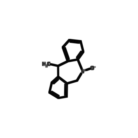 CC1c2ccccc2C[S+]([O-])c2ccccc21